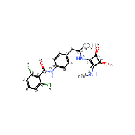 CCCNc1c(N[C@@H](Cc2ccc(NC(=O)c3c(Cl)cccc3Cl)cc2)C(=O)O)c(=O)c1=O